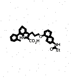 CCC(=O)Nc1ccc2c(OCCCc3c(C(=O)O)[nH]c4c(-c5ccccc5C)cccc34)cccc2c1